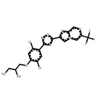 OCC(O)COc1cc(Cl)c(-c2noc(-c3cn4cc(C(F)(F)F)ncc4n3)n2)cc1Cl